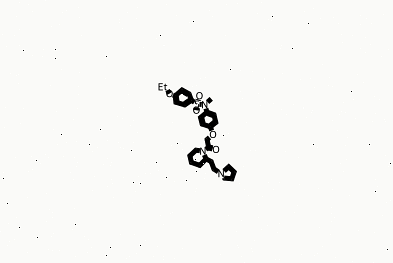 CCOc1ccc(S(=O)(=O)N(C)c2ccc(OCC(=O)N3CCCCC3CCN3CCCC3)cc2)cc1